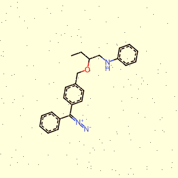 CCC(CNc1ccccc1)OCc1ccc(C(=[N+]=[N-])c2ccccc2)cc1